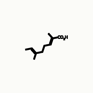 CC=C(C)CCC=C(C)C(=O)O